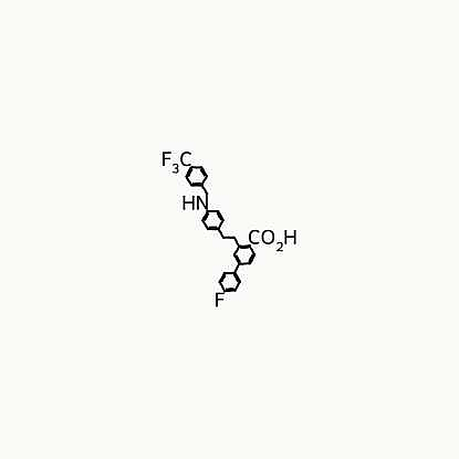 O=C(O)c1ccc(-c2ccc(F)cc2)cc1CCc1ccc(NCc2ccc(C(F)(F)F)cc2)cc1